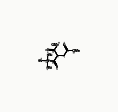 CCCC[N+](S)(CCCC)C(=S)C(CC(=O)OC)C(=O)OC